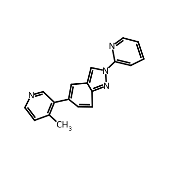 Cc1ccncc1-c1ccc2nn(-c3ccccn3)cc2c1